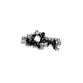 CC(C)CC(=O)OC1C(OC2C(CO)OC(Oc3ccc(CC4NC(=O)C(C(C)c5ccccc5)NC(=O)CNC(=O)C(CO)NC(=O)C(C(O)C5CNC(=N)N5C5OC(CO)C(O)C(O)C5O)NC(=O)C(C(O)C5CNC(=N)N5)NC4=O)cc3F)C(O)C2O)OC(CO)C(O)C1O